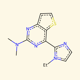 CCn1ccnc1-c1nc(N(C)C)nc2ccsc12